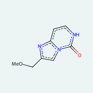 COCc1cn2c(=O)[nH]ccc2n1